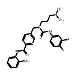 CN(C)CCCN(Cc1ccc(C(=O)Nc2ccccc2N)nc1)C(=O)Nc1ccc(F)c(F)c1